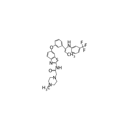 CC=C(Nc1cccc(C(F)(F)F)c1)c1cccc(Oc2ccc3nc(NC(=O)CN4CCN(C)CC4)sc3c2)c1